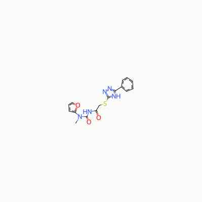 CN(C(=O)NC(=O)CSc1nnc(-c2ccccc2)[nH]1)c1ccco1